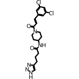 O=C(CCCc1c[nH]nn1)NC1CCN(C(=O)C=Cc2cc(Cl)cc(Cl)c2)CC1